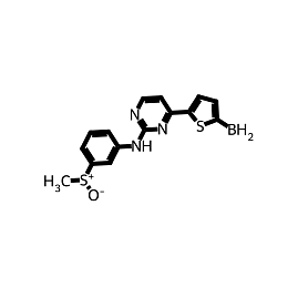 Bc1ccc(-c2ccnc(Nc3cccc([S+](C)[O-])c3)n2)s1